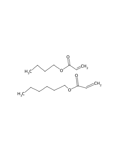 C=CC(=O)OCCCC.C=CC(=O)OCCCCCC